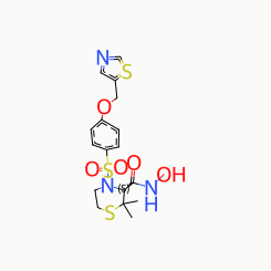 CC1(C)SCCN(S(=O)(=O)c2ccc(OCc3cncs3)cc2)[C@H]1C(=O)NO